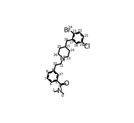 CN(C)C(=O)c1cccc(CCN2CCC(Cc3cc(Cl)ccc3Br)CC2)c1